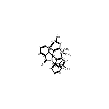 C[Si]1(C)c2cc(O)ccc2C2(c3ccccc3C(=O)N2c2ccccc2N)c2ccc(O)cc21